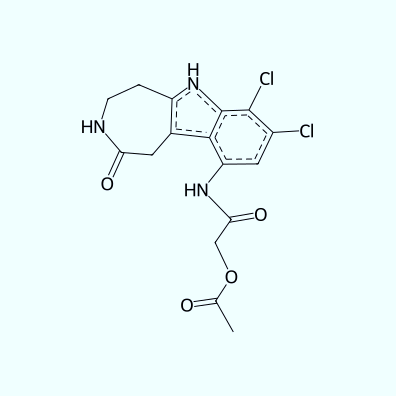 CC(=O)OCC(=O)Nc1cc(Cl)c(Cl)c2[nH]c3c(c12)CC(=O)NCC3